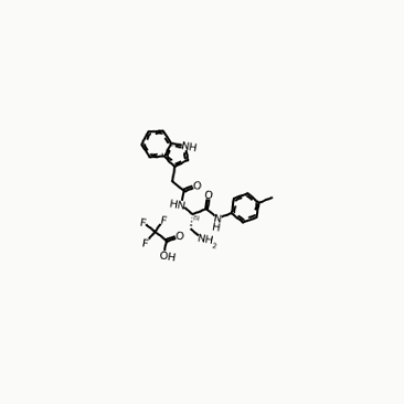 Cc1ccc(NC(=O)[C@H](CN)NC(=O)Cc2c[nH]c3ccccc23)cc1.O=C(O)C(F)(F)F